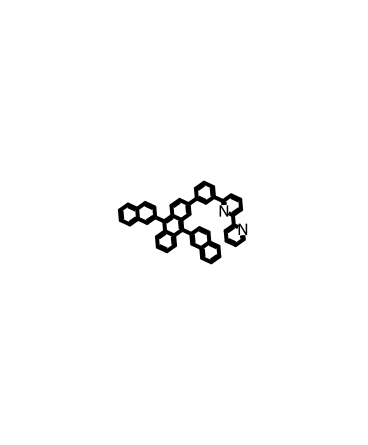 c1ccc(-c2cccc(-c3cccc(-c4ccc5c(-c6ccc7ccccc7c6)c6ccccc6c(-c6ccc7ccccc7c6)c5c4)c3)n2)nc1